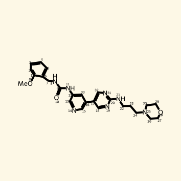 COc1ccccc1CNC(=O)Nc1cncc(-c2cnc(NCCCN3CCOCC3)nc2)c1